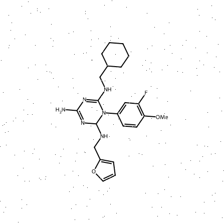 COc1ccc(N2C(NCC3CCCCC3)=NC(N)=NC2NCc2ccco2)cc1F